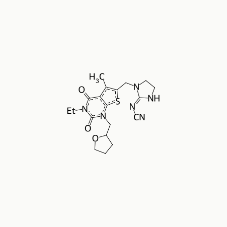 CCn1c(=O)c2c(C)c(CN3CCN/C3=N\C#N)sc2n(CC2CCCO2)c1=O